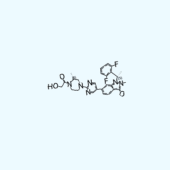 C[C@@H]1CN(c2ncc(-c3ccc4c(=O)n(C)n([C@@H](C)c5c(F)cccc5F)c4c3)cn2)CCN1C(=O)CO